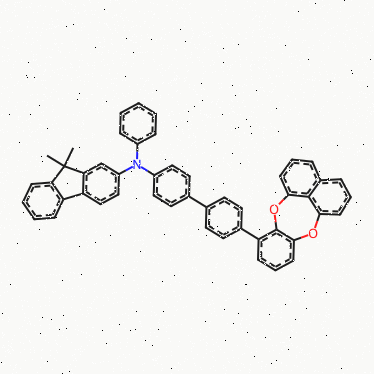 CC1(C)c2ccccc2-c2ccc(N(c3ccccc3)c3ccc(-c4ccc(-c5cccc6c5Oc5cccc7cccc(c57)O6)cc4)cc3)cc21